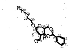 C[C@H]1C(C=O)[C@@H]2OC(c3ccccc3)OCC2O[C@H]1OCCN=[N+]=[N-]